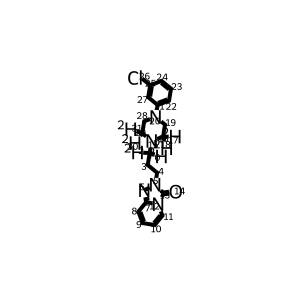 [2H]C([2H])(CCn1nc2ccccn2c1=O)N1C([2H])([2H])CN(c2cccc(Cl)c2)CC1([2H])[2H]